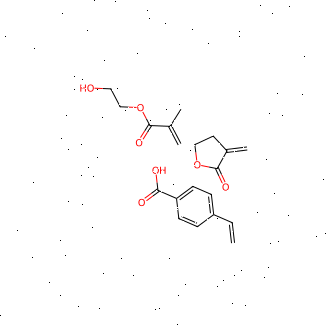 C=C(C)C(=O)OCCO.C=C1CCOC1=O.C=Cc1ccc(C(=O)O)cc1